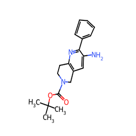 CC(C)(C)OC(=O)N1CCc2nc(-c3ccccc3)c(N)cc2C1